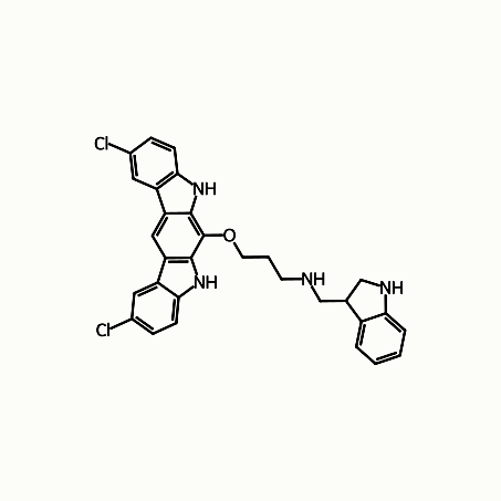 Clc1ccc2[nH]c3c(OCCCNCC4CNc5ccccc54)c4[nH]c5ccc(Cl)cc5c4cc3c2c1